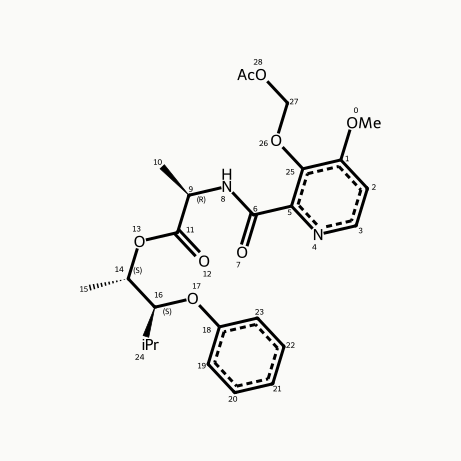 COc1ccnc(C(=O)N[C@H](C)C(=O)O[C@@H](C)[C@@H](Oc2ccccc2)C(C)C)c1OCOC(C)=O